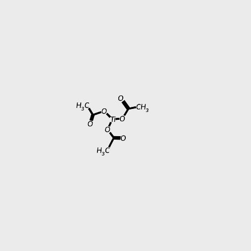 CC(=O)[O][Ti]([O]C(C)=O)[O]C(C)=O